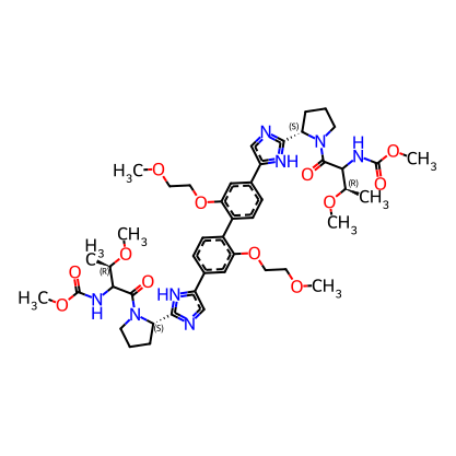 COCCOc1cc(-c2cnc([C@@H]3CCCN3C(=O)C(NC(=O)OC)[C@@H](C)OC)[nH]2)ccc1-c1ccc(-c2cnc([C@@H]3CCCN3C(=O)C(NC(=O)OC)[C@@H](C)OC)[nH]2)cc1OCCOC